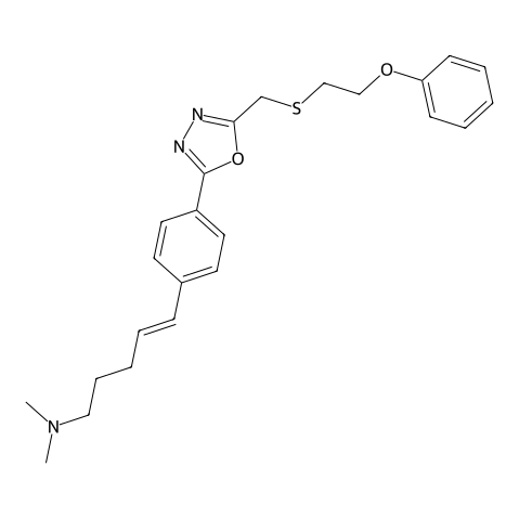 CN(C)CCCC=Cc1ccc(-c2nnc(CSCCOc3ccccc3)o2)cc1